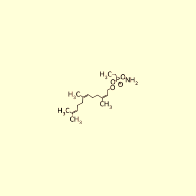 CCP(=O)(ON)OOCC=C(C)CCC=C(C)CCC=C(C)C